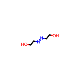 OCCN=NCCO